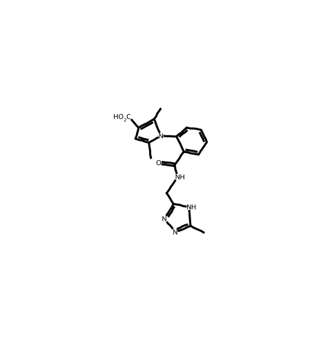 Cc1nnc(CNC(=O)c2ccccc2-n2c(C)cc(C(=O)O)c2C)[nH]1